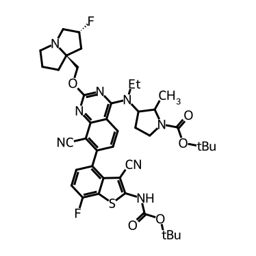 CCN(c1nc(OC[C@@]23CCCN2C[C@H](F)C3)nc2c(C#N)c(-c3ccc(F)c4sc(NC(=O)OC(C)(C)C)c(C#N)c34)ccc12)C1CCN(C(=O)OC(C)(C)C)C1C